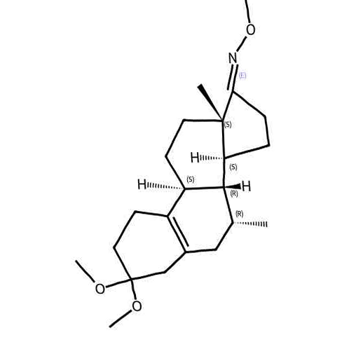 CO/N=C1\CC[C@H]2[C@@H]3[C@H](C)CC4=C(CCC(OC)(OC)C4)[C@H]3CC[C@]12C